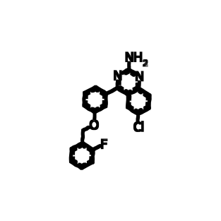 Nc1nc(-c2cccc(OCc3ccccc3F)c2)c2cc(Cl)ccc2n1